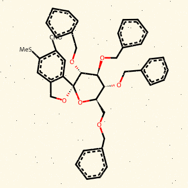 CSc1cc2c(cc1C=O)[C@]1(OC2)O[C@H](COCc2ccccc2)[C@@H](OCc2ccccc2)[C@H](OCc2ccccc2)[C@H]1OCc1ccccc1